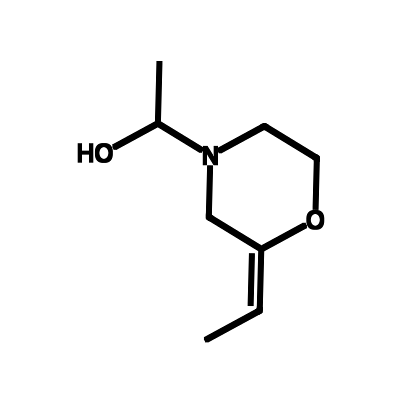 CC=C1CN(C(C)O)CCO1